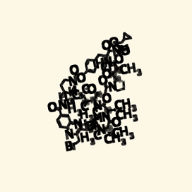 CC[C@H](C)[C@@H]([C@@H](CC(=O)N1CCC[C@H]1[C@H](OC)[C@@H](C)C(=O)N[C@@H](Cc1ccc(OC(=O)N2CCC(CNC(=O)c3ccc4nc(CBr)c(CBr)nc4c3)CC2)cc1)C(=O)NS(=O)(=O)C1CC1)OC)N(C)C(=O)[C@@H](NC(=O)[C@H](C(C)C)N(C)C)C(C)C